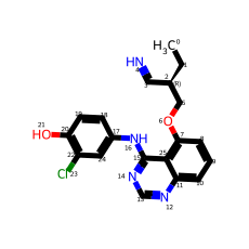 CC[C@H](C=N)COc1cccc2ncnc(Nc3ccc(O)c(Cl)c3)c12